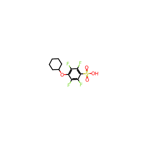 O=S(=O)(O)c1c(F)c(F)c(OC2CCCCC2)c(F)c1F